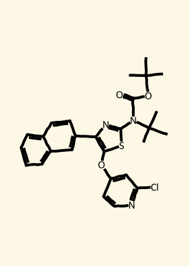 CC(C)(C)OC(=O)N(c1nc(-c2ccc3ccccc3c2)c(Oc2ccnc(Cl)c2)s1)C(C)(C)C